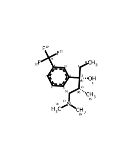 CC[C@](O)(c1cccc(C(F)(F)F)c1)[C@H](C)CN(C)C